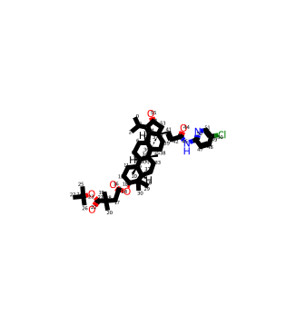 CC(C)C1=C2[C@H]3CC[C@@H]4[C@@]5(C)CC[C@H](OC(=O)CC(C)(C)C(=O)OC(C)(C)C)C(C)(C)[C@@H]5CC[C@@]4(C)[C@]3(C)CC[C@@]2(C=CC(=O)Nc2ccc(Cl)cn2)CC1=O